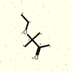 CCOC(C)(C)C(C)=O